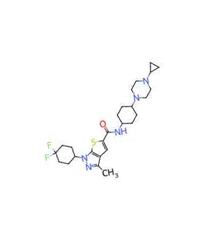 Cc1nn(C2CCC(F)(F)CC2)c2sc(C(=O)NC3CCC(N4CCN(C5CC5)CC4)CC3)cc12